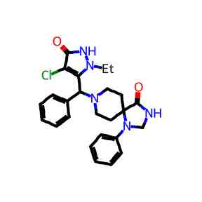 CCn1[nH]c(=O)c(Cl)c1C(c1ccccc1)N1CCC2(CC1)C(=O)NCN2c1ccccc1